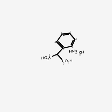 O=C(O)C(C(=O)O)c1ccccc1.[KH].[NaH]